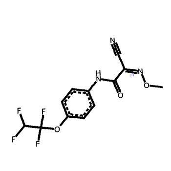 CO/N=C(/C#N)C(=O)Nc1ccc(OC(F)(F)C(F)F)cc1